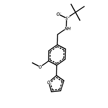 COc1cc(CN[S+]([O-])C(C)(C)C)ccc1-c1ccco1